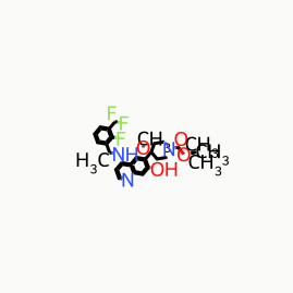 COC1(c2cc3c(NC(C)c4cccc(C(F)F)c4F)ccnc3cc2O)CCN(C(=O)OC(C)(C)C)CC1